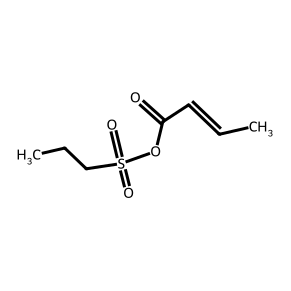 CC=CC(=O)OS(=O)(=O)CCC